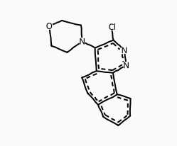 Clc1nnc2c(ccc3ccccc32)c1N1CCOCC1